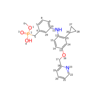 COP(=O)(O)Cc1cccc(Nc2ccc(OCc3ccccn3)cc2C2CC2)c1